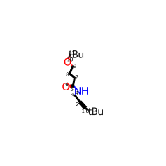 CC(C)(C)C#CCNC(=O)CCCOC(C)(C)C